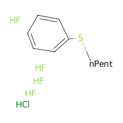 CCCCCSc1ccccc1.Cl.F.F.F.F